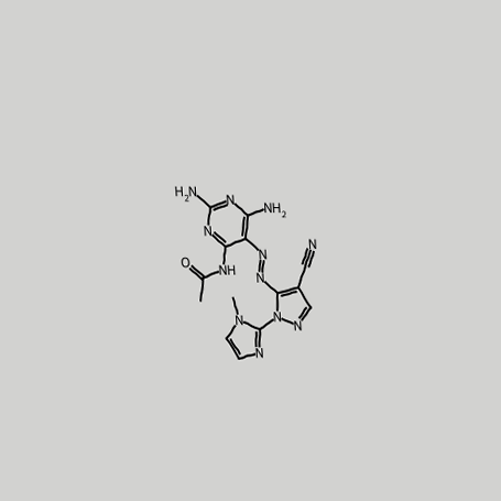 CC(=O)Nc1nc(N)nc(N)c1/N=N/c1c(C#N)cnn1-c1nccn1C